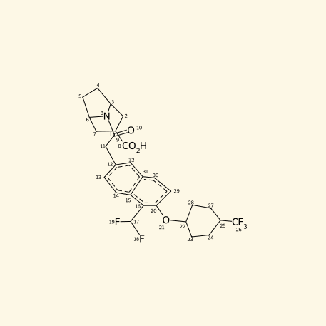 O=C(O)C1CC2CCC(C1)N2C(=O)Cc1ccc2c(C(F)F)c(OC3CCC(C(F)(F)F)CC3)ccc2c1